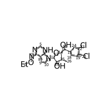 CCO/N=c1/nc[nH]c2c1ccn2[C@@H]1O[C@H]([C@H](O)c2ccc(Cl)c(Cl)c2)[C@@H](C)[C@H]1O